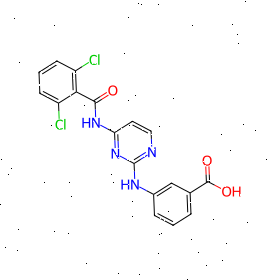 O=C(O)c1cccc(Nc2nccc(NC(=O)c3c(Cl)cccc3Cl)n2)c1